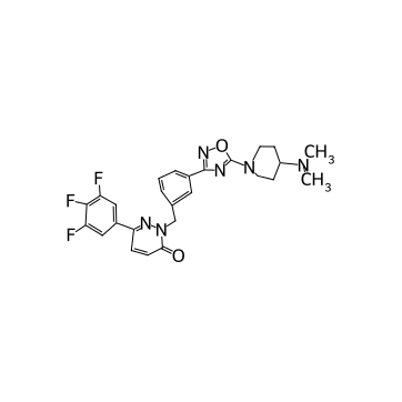 CN(C)C1CCN(c2nc(-c3cccc(Cn4nc(-c5cc(F)c(F)c(F)c5)ccc4=O)c3)no2)CC1